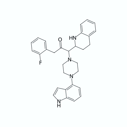 O=C(Cc1ccccc1F)C(C1CCc2ccccc2N1)N1CCN(c2cccc3[nH]ccc23)CC1